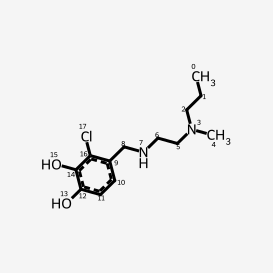 CCCN(C)CCNCc1ccc(O)c(O)c1Cl